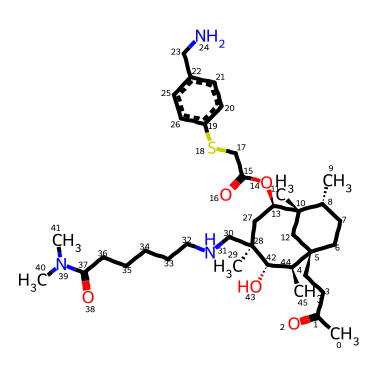 CC(=O)CC[C@]12CC[C@@H](C)[C@](C)(C1)[C@H](OC(=O)CSc1ccc(CN)cc1)C[C@](C)(CNCCCCCC(=O)N(C)C)[C@@H](O)[C@@H]2C